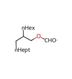 CCCCCCCCC(CCCCCC)CO[C]=O